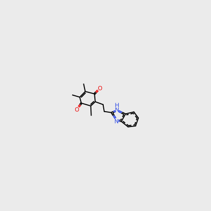 CC1=C(C)C(=O)C(CCc2nc3ccccc3[nH]2)=C(C)C1=O